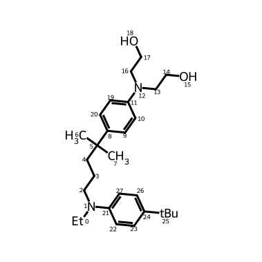 CCN(CCCC(C)(C)c1ccc(N(CCO)CCO)cc1)c1ccc(C(C)(C)C)cc1